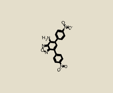 Nc1c(-c2ccc([N+](=O)[O-])cc2)cc(-c2ccc([N+](=O)[O-])cc2)c2nonc12